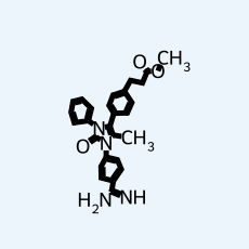 COC(=O)CCc1ccc(-c2c(C)n(-c3ccc(C(=N)N)cc3)c(=O)n2-c2ccccc2)cc1